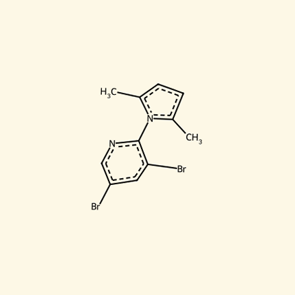 Cc1ccc(C)n1-c1ncc(Br)cc1Br